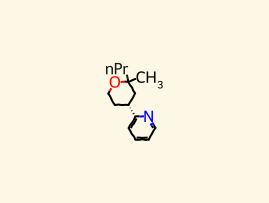 CCCC1(C)C[C@H](c2ccccn2)CCO1